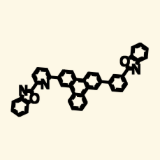 c1cc(-c2ccc3c4ccc(-c5cccc(-c6nc7ccccc7o6)n5)cc4c4ccccc4c3c2)cc(-c2nc3ccccc3o2)c1